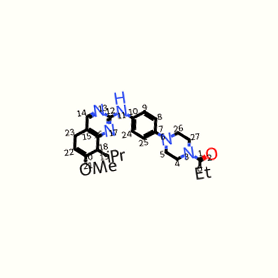 CCC(=O)N1CCN(c2ccc(Nc3ncc4c(n3)C(C(C)C)C(OC)=CC4)cc2)CC1